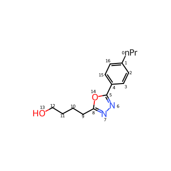 CCCc1ccc(-c2nnc(CCCCO)o2)cc1